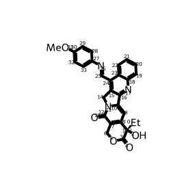 CC[C@@]1(O)C(=O)OCc2c1cc1n(c2=O)Cc2c-1nc1ccccc1c2C=Nc1ccc(OC)cc1